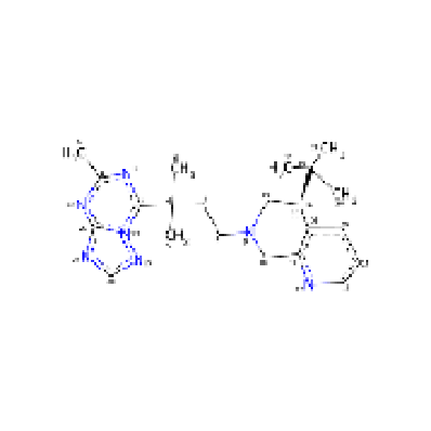 Cc1nc(C(C)(C)CCN2Cc3ncccc3[C@H](C(C)(C)C)C2)n2ncnc2n1